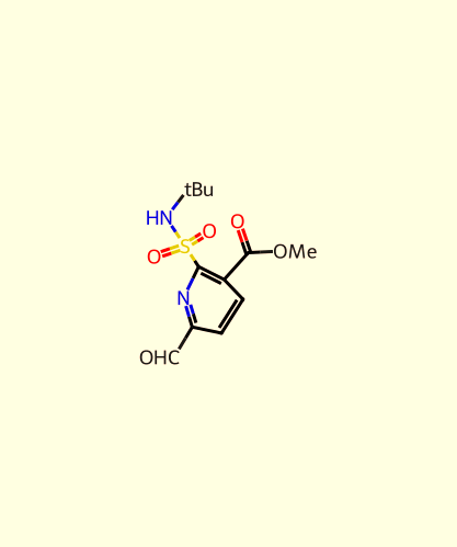 COC(=O)c1ccc(C=O)nc1S(=O)(=O)NC(C)(C)C